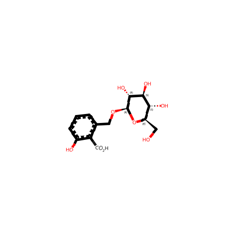 O=C(O)c1c(O)cccc1CO[C@@H]1O[C@H](CO)[C@@H](O)[C@H](O)[C@H]1O